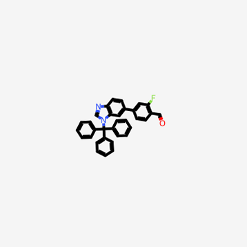 O=Cc1ccc(-c2ccc3ncn(C(c4ccccc4)(c4ccccc4)c4ccccc4)c3c2)cc1F